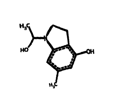 Cc1cc(O)c2c(c1)N(C(C)O)CC2